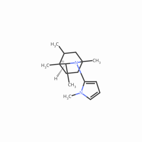 CC1CC2(C)CCC1(C)[C@H](C)N2c1cccn1C